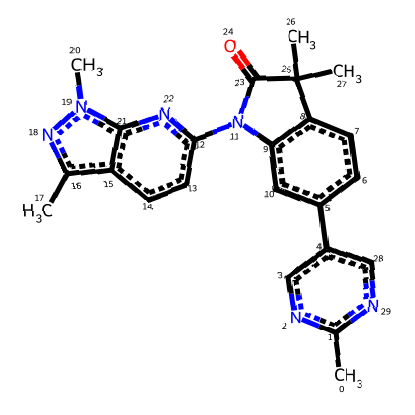 Cc1ncc(-c2ccc3c(c2)N(c2ccc4c(C)nn(C)c4n2)C(=O)C3(C)C)cn1